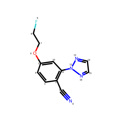 N#Cc1ccc(OCCF)cc1-n1nccn1